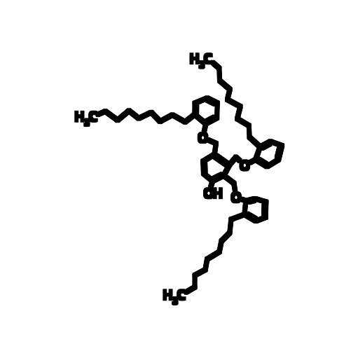 CCCCCCCCCc1ccccc1OCc1ccc(O)c(COc2ccccc2CCCCCCCCC)c1COc1ccccc1CCCCCCCCC